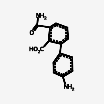 NC(=O)c1cccc(-c2ccc(N)cc2)c1C(=O)O